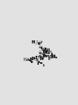 CCC(=O)OCc1ccc(NC(=O)[C@H](CCCNC(N)=O)NC(=O)[C@@H](NC(=O)CCOCCC(C)=O)C(C)C)cc1C(=O)NC